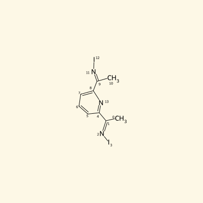 C/C(=N\I)c1cccc(/C(C)=N/I)n1